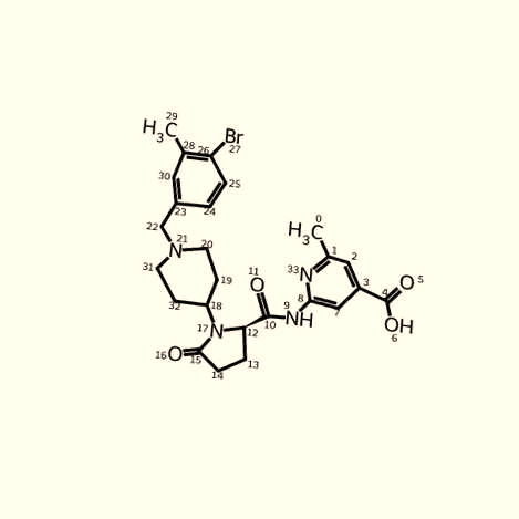 Cc1cc(C(=O)O)cc(NC(=O)[C@H]2CCC(=O)N2C2CCN(Cc3ccc(Br)c(C)c3)CC2)n1